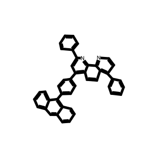 c1ccc(-c2cc(-c3ccc(-c4c5ccccc5cc5ccccc45)cc3)c3ccc4c(-c5ccccc5)ccnc4c3n2)cc1